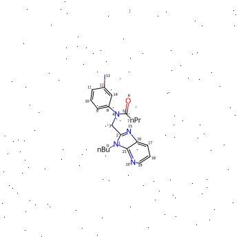 CCCCn1c(CN(C(=O)CCC)c2cccc(I)c2)nc2cccnc21